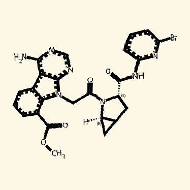 COC(=O)c1cccc2c3c(N)ncnc3n(CC(=O)N3[C@@H]4CC4C[C@H]3C(=O)Nc3cccc(Br)n3)c12